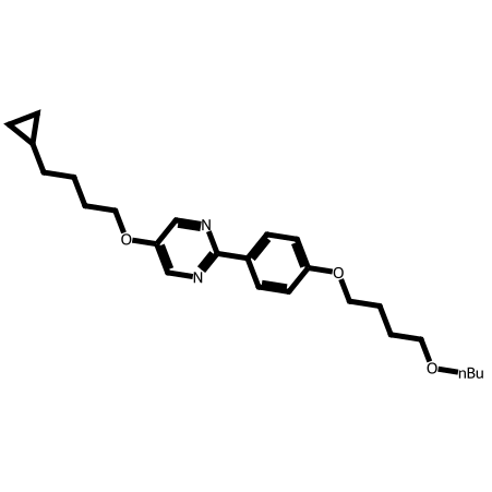 CCCCOCCCCOc1ccc(-c2ncc(OCCCCC3CC3)cn2)cc1